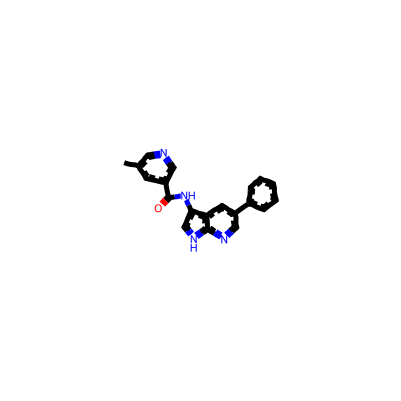 Cc1cncc(C(=O)Nc2c[nH]c3ncc(-c4ccccc4)cc23)c1